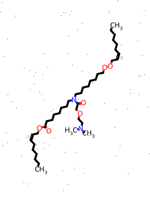 CCCCCC/C=C\COOCCCCCCCCN(CCCCCCCC(=O)OC/C=C\CCCCCC)C(=O)COCCN(C)C